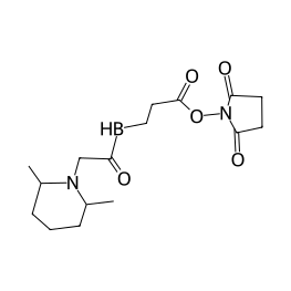 CC1CCCC(C)N1CC(=O)BCCC(=O)ON1C(=O)CCC1=O